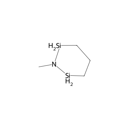 CN1[SiH2]CCC[SiH2]1